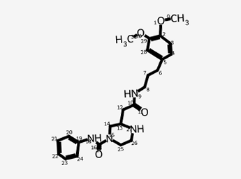 COc1ccc(CCCNC(=O)CC2CN(C(=O)Nc3ccccc3)CCN2)cc1OC